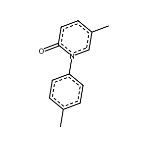 Cc1ccc(-n2cc(C)ccc2=O)cc1